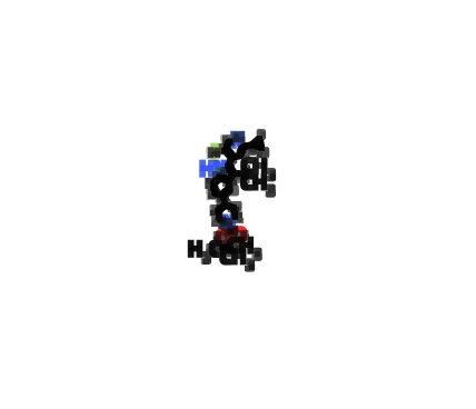 CC(C)c1c(-c2cc(C3CC3)ncc2F)[nH]c2ccc(C3CCN(C(=O)OC(C)(C)C)CC3)cc12